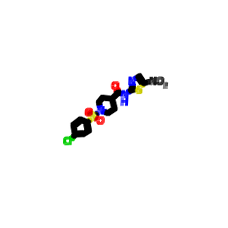 O=C(Nc1ncc([N+](=O)[O-])s1)C1CCN(S(=O)(=O)c2ccc(Cl)cc2)CC1